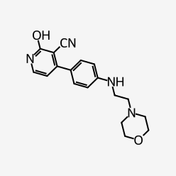 N#Cc1c(-c2ccc(NCCN3CCOCC3)cc2)ccnc1O